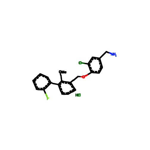 COc1c(COc2ccc(CN)cc2Cl)cccc1-c1ccccc1F.Cl